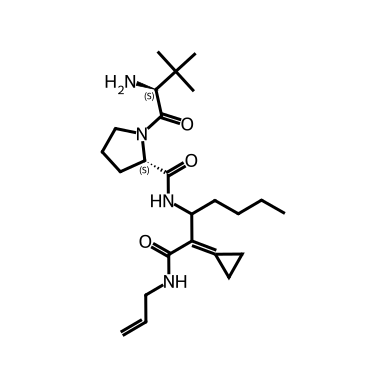 C=CCNC(=O)C(=C1CC1)C(CCCC)NC(=O)[C@@H]1CCCN1C(=O)[C@@H](N)C(C)(C)C